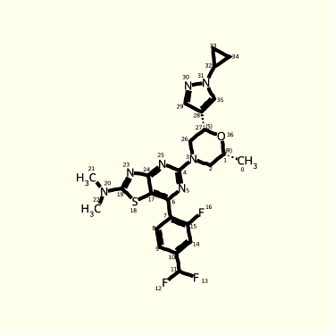 C[C@@H]1CN(c2nc(-c3ccc(C(F)F)cc3F)c3sc(N(C)C)nc3n2)C[C@H](c2cnn(C3CC3)c2)O1